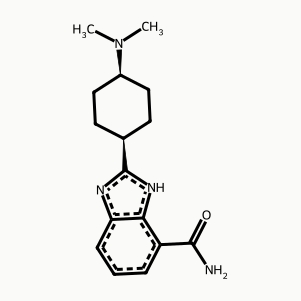 CN(C)[C@H]1CC[C@@H](c2nc3cccc(C(N)=O)c3[nH]2)CC1